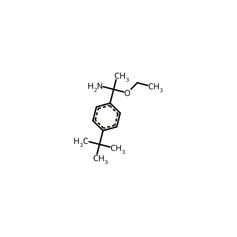 CCOC(C)(N)c1ccc(C(C)(C)C)cc1